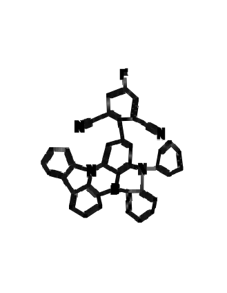 N#Cc1cc(F)cc(C#N)c1-c1cc2c3c(c1)-n1c4ccccc4c4cccc(c41)B3c1ccccc1N2c1ccccc1